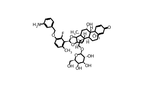 Cc1ccc(OCc2cccc(N)c2)c(F)c1[C@@H]1O[C@@H]2C[C@H]3[C@@H]4CCC5=CC(=O)C=C[C@]5(C)[C@H]4[C@@H](O)C[C@]3(C)[C@]2(C(=O)CO[C@@H]2O[C@H](CO)[C@H](O)[C@H](O)[C@H]2O)O1